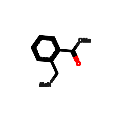 CNCc1ccccc1C(=O)OC